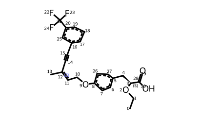 CCO[C@@H](Cc1ccc(OC/C=C(/C)C#Cc2cccc(C(F)(F)F)c2)cc1)C(=O)O